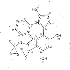 CC1(n2ccc3c(-n4c(S)nnc4-c4cc(C5CC5)c(O)cc4O)cccc32)CC1